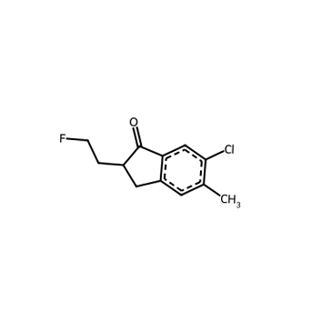 Cc1cc2c(cc1Cl)C(=O)C(CCF)C2